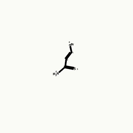 CCC/C=C/C(N)=S